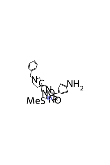 CS/C(=N/S(=O)(=O)c1ccc(N)cc1)N1CC2(C=N1)CCN(Cc1ccccc1)CC2